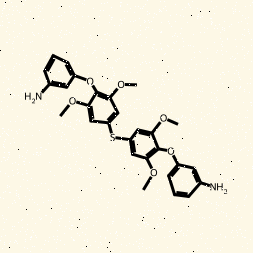 COc1cc(Sc2cc(OC)c(Oc3cccc(N)c3)c(OC)c2)cc(OC)c1Oc1cccc(N)c1